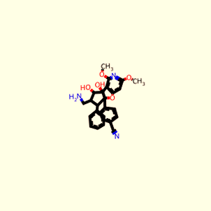 COc1cc2c(c(OC)n1)C1(O)C(O)C(CN)C(c3ccccc3)C1(c1ccc(C#N)cc1)O2